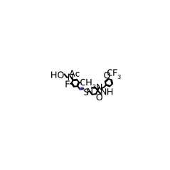 CC(=O)N(CCO)c1cc(C)c(/C=C/SN2CCC3(CC2)N=C(c2cccc(OC(F)(F)F)c2)NC3=O)cc1F